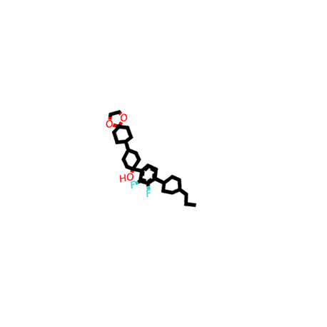 CCCC1CCC(c2ccc(C3(O)CCC(C4CCC5(CC4)OCCO5)CC3)c(F)c2F)CC1